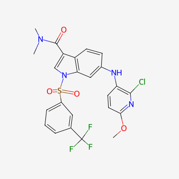 COc1ccc(Nc2ccc3c(C(=O)N(C)C)cn(S(=O)(=O)c4cccc(C(F)(F)F)c4)c3c2)c(Cl)n1